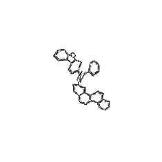 c1ccc(N(c2ccc3c(c2)oc2ccccc23)c2ccc3ccc4c5ccccc5ccc4c3c2)cc1